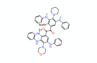 CCNc1c(C(=O)C(=O)c2cc(N(C)c3ccccc3)c(N3CCCCC3)c(N(C)c3ccccc3)c2NC)cc(Nc2ccccc2)c(N2CCOCC2)c1Nc1ccccc1